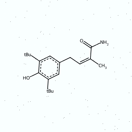 CC(=CCc1cc(C(C)(C)C)c(O)c(C(C)(C)C)c1)C(N)=O